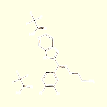 NCCON=C(c1ccc(Cl)c(Cl)c1)c1cc2ccncc2[nH]1.O=C(O)C(F)(F)F.O=C(O)C(F)(F)F